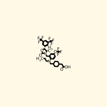 CCCN(CC1CCC(CC(=O)O)CC1)c1ccc(OC(F)(F)F)cc1CN1C(=O)O[C@H](c2cc(C(F)(F)F)cc(C(F)(F)F)c2)[C@@H]1C